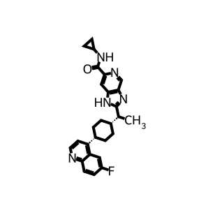 CC(c1nc2cnc(C(=O)NC3CC3)cc2[nH]1)[C@H]1CC[C@@H](c2ccnc3ccc(F)cc32)CC1